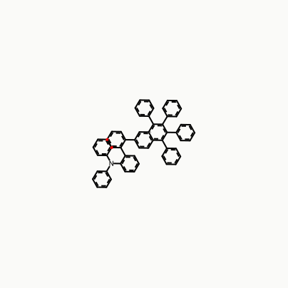 c1ccc(-c2c(-c3ccccc3)c(-c3ccccc3)c3cc(-c4ccccc4-c4ccccc4N(c4ccccc4)c4ccccc4)ccc3c2-c2ccccc2)cc1